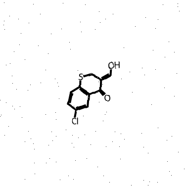 O=C1/C(=C/O)CSc2ccc(Cl)cc21